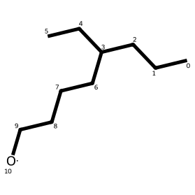 CCCC(CC)CCCC[O]